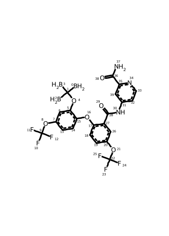 BC(B)(B)Oc1cc(OC(F)(F)F)ccc1Oc1ccc(OC(F)(F)F)cc1C(=O)Nc1ccnc(C(N)=O)c1